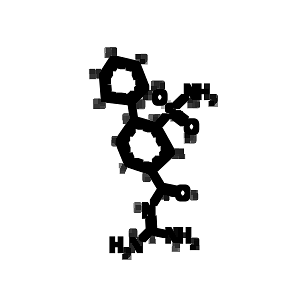 NC(N)=NC(=O)c1ccc(-c2ccccc2)c(S(N)(=O)=O)c1